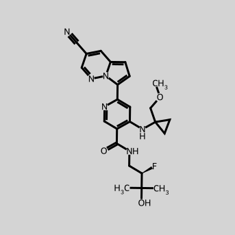 COCC1(Nc2cc(-c3ccc4cc(C#N)cnn34)ncc2C(=O)NC[C@@H](F)C(C)(C)O)CC1